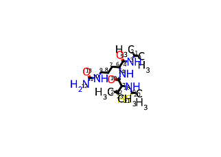 CC(C)NC(=O)C(CCCNC(N)=O)NC(=O)C(NC(C)S)C(C)C